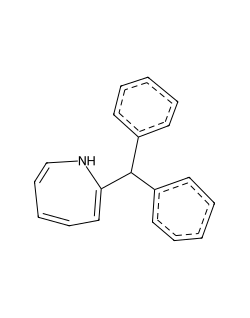 C1=CC=C(C(c2ccccc2)c2ccccc2)NC=C1